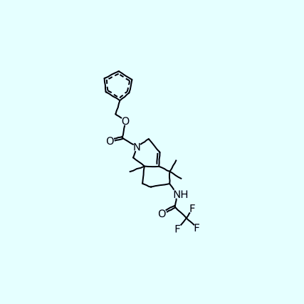 CC12CCC(NC(=O)C(F)(F)F)C(C)(C)C1=CCN(C(=O)OCc1ccccc1)C2